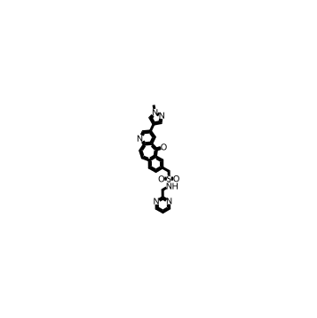 Cn1cc(-c2cnc3ccc4ccc(CS(=O)(=O)NCc5ncccn5)cc4c(=O)c3c2)cn1